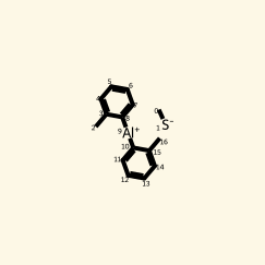 C[S-].Cc1cccc[c]1[Al+][c]1ccccc1C